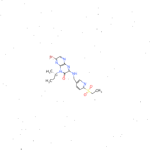 CC[C@H](C)n1c(=O)c(NCc2ccc(S(=O)(=O)CC)nc2)nc2ncc(Br)nc21